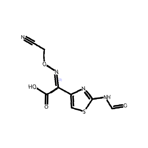 N#CCO/N=C(\C(=O)O)c1csc(NC=O)n1